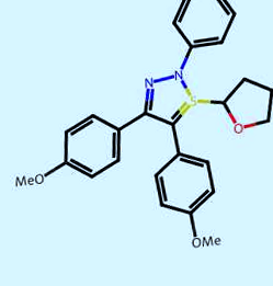 COc1ccc(C2=NN(c3ccccc3)S(C3CCCO3)=C2c2ccc(OC)cc2)cc1